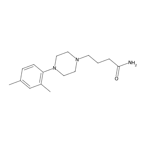 Cc1ccc(N2CCN(CCCC(N)=O)CC2)c(C)c1